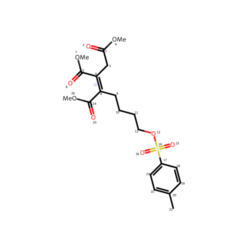 COC(=O)C/C(C(=O)OC)=C(\CCCCOS(=O)(=O)c1ccc(C)cc1)C(=O)OC